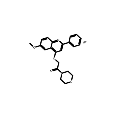 COc1ccc2nc(-c3ccccc3)cc(OCC(=O)N3CCOCC3)c2c1.Cl